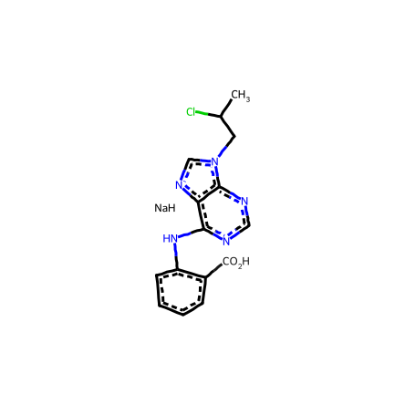 CC(Cl)Cn1cnc2c(Nc3ccccc3C(=O)O)ncnc21.[NaH]